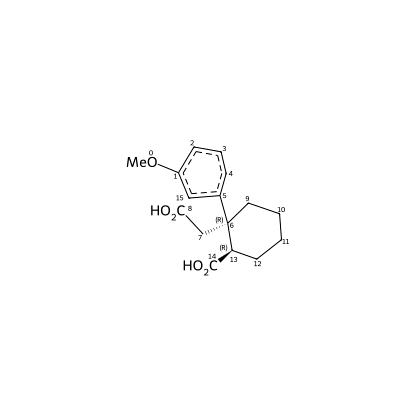 COc1cccc([C@@]2(CC(=O)O)CCCC[C@H]2C(=O)O)c1